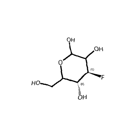 OCC1OC(O)C(O)[C@@H](F)[C@@H]1O